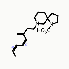 C=C(/C=C\C=C/C)CCN1CCCC2(CCCN2C(=O)O)C1